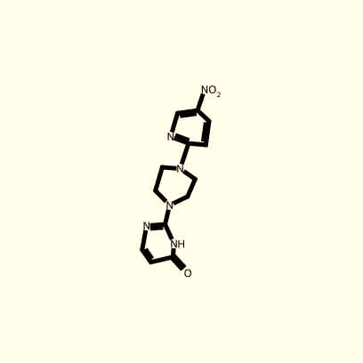 O=c1ccnc(N2CCN(c3ccc([N+](=O)[O-])cn3)CC2)[nH]1